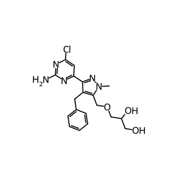 Cn1nc(-c2cc(Cl)nc(N)n2)c(Cc2ccccc2)c1COCC(O)CO